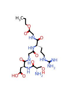 CCCOC(=O)CNC(=O)[C@H](CCCNC(=N)N)NC(=O)CNC(=O)[C@H](CC(=O)O)NC(=O)[C@@H](N)CO